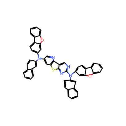 c1ccc2cc(N(c3ccc4c(c3)oc3ccccc34)c3cnc4c(c3)sc3nc(N(c5ccc6ccccc6c5)c5ccc6c(c5)oc5ccccc56)ncc34)ccc2c1